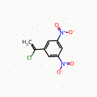 C=C(Cl)c1cc([N+](=O)[O-])cc([N+](=O)[O-])c1